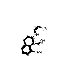 C/C=C\N[C@@H]1CCc2cccc(OC)c2[C@@H]1CO